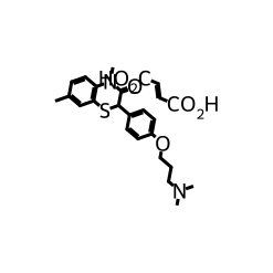 Cc1ccc2c(c1)SC(c1ccc(OCCCN(C)C)cc1)C(=O)N2C.O=C(O)/C=C/C(=O)O